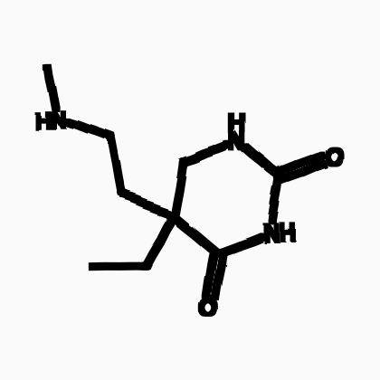 CCC1(CCNC)CNC(=O)NC1=O